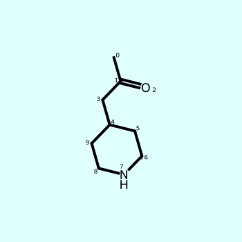 CC(=O)CC1C[CH]NCC1